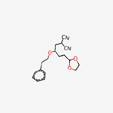 N#CC(C#N)CC(CCC1OCCO1)OCCc1ccccc1